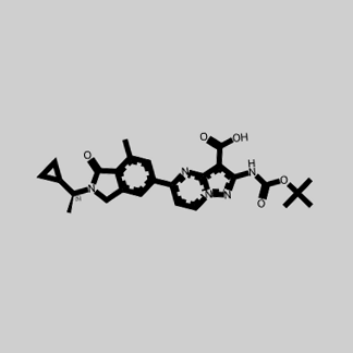 Cc1cc(-c2ccn3nc(NC(=O)OC(C)(C)C)c(C(=O)O)c3n2)cc2c1C(=O)N([C@@H](C)C1CC1)C2